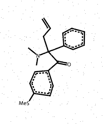 C=CCC(C(=O)c1ccc(SC)cc1)(c1ccccc1)N(C)C